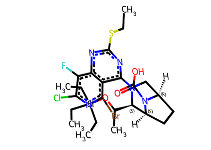 CCSc1nc(N2C[C@H]3CC[C@@H]([C@H]2C(C)O[Si](CC)(CC)CC)N3C(=O)O)c2c(Br)nc(Cl)c(F)c2n1